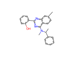 Cc1ccc2c(N(C)C(C)c3ccccc3)nc(-c3ccccc3O)nc2c1